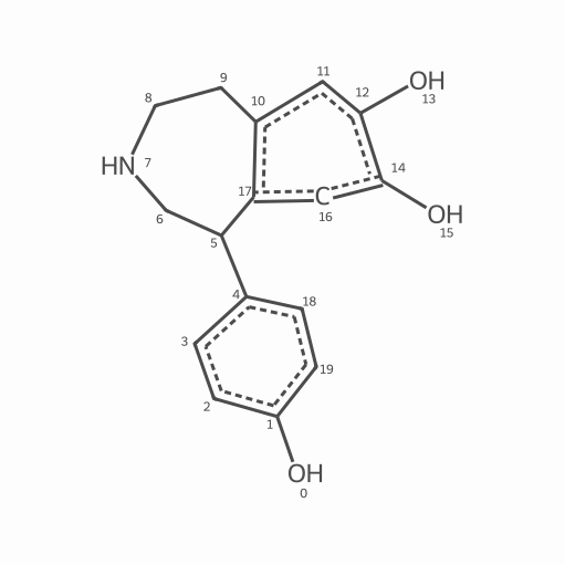 Oc1ccc(C2CNCCc3cc(O)c(O)cc32)cc1